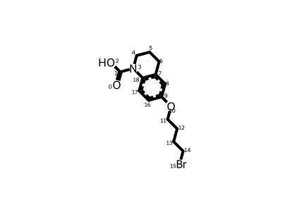 O=C(O)N1CCCc2cc(OCCCCBr)ccc21